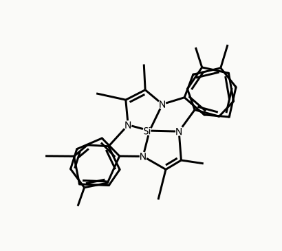 CC1=C(C)N(c2cccc(C)c2)[Si]2(N1c1cccc(C)c1)N(c1cccc(C)c1)C(C)=C(C)N2c1cccc(C)c1